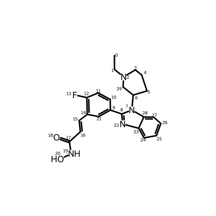 CCN1CCCC(n2c(-c3ccc(F)c(C=CC(=O)NO)c3)nc3ccccc32)C1